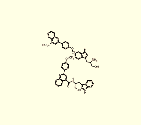 N[C@@H](CO)Cc1c[nH]c2ccccc12.O=C(N[C@@H](CO)Cc1c[nH]c2ccccc12)c1cc(-c2ccc(OC(F)(F)F)cc2)nc2ccccc12.O=C(O)c1cc(-c2ccc(OC(F)(F)F)cc2)nc2ccccc12